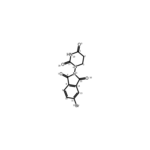 O=C1CCN(N2C(=O)c3ccc(Br)cc3C2=O)C(=O)N1